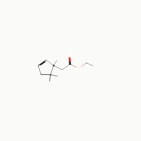 CCOC(=O)CC1(C)C=CCC1(C)C